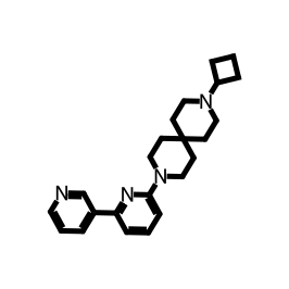 c1cncc(-c2cccc(N3CCC4(CC3)CCN(C3CCC3)CC4)n2)c1